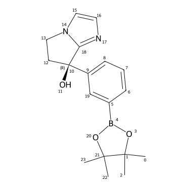 CC1(C)OB(c2cccc([C@]3(O)CCn4ccnc43)c2)OC1(C)C